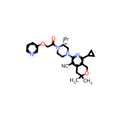 CC(C)[C@@H]1CN(c2nc(C3CC3)c3c(c2C#N)CC(C)(C)OC3)CCN1C(=O)COc1cccnc1